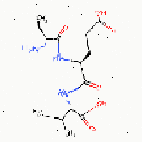 CC(C)[C@H](NC(=O)[C@H](CCC(=O)O)NC(=O)[C@H](C)N)C(=O)O